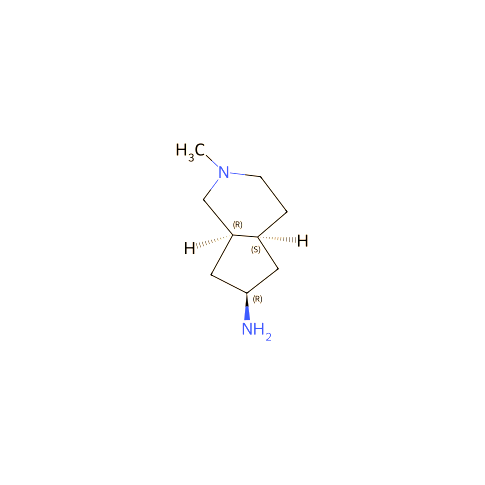 CN1CC[C@H]2C[C@@H](N)C[C@H]2C1